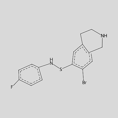 Fc1ccc(NSc2cc3c(cc2Br)CNCC3)cc1